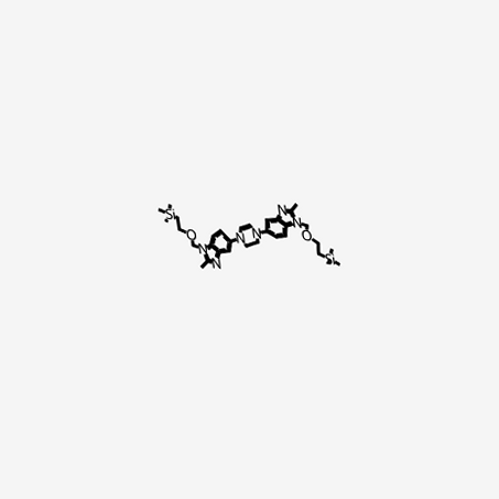 Cc1nc2cc(N3C=CN(c4ccc5c(c4)nc(C)n5COCC[Si](C)(C)C)CC3)ccc2n1COCC[Si](C)(C)C